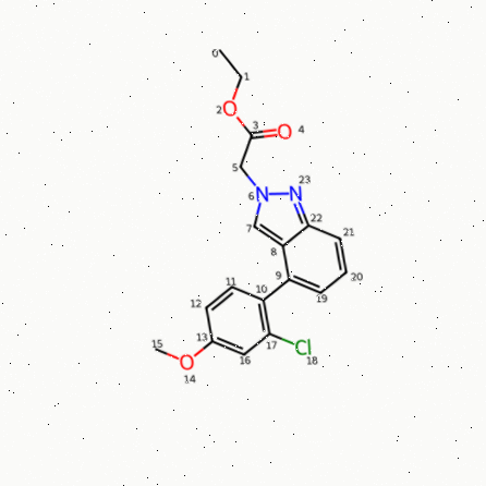 CCOC(=O)Cn1cc2c(-c3ccc(OC)cc3Cl)cccc2n1